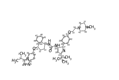 CC(C)c1nnc2ccc(O[C@@H]3CC[C@H](NC(=O)NC4=CC(C(C)(C)C)=NC4c4ccc(OCCN5CCN(C)CC5)cc4)c4ccccc43)cn12